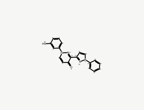 O=c1ccn(-c2cccc(S)c2)nc1-c1ccn(-c2ccccc2)n1